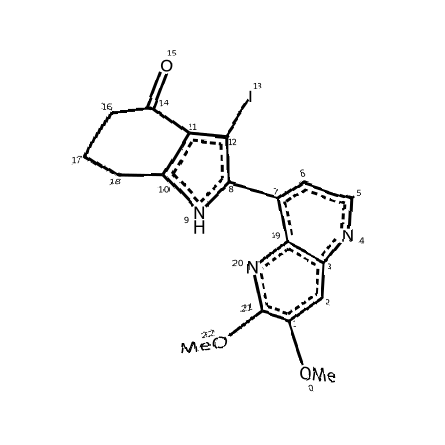 COc1cc2nccc(-c3[nH]c4c(c3I)C(=O)CCC4)c2nc1OC